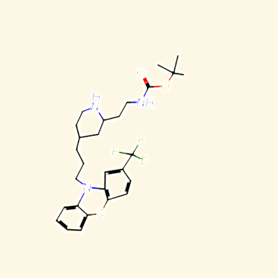 CC(C)(C)OC(=O)NCCC1CC(CCCN2c3ccccc3Sc3ccc(C(F)(F)F)cc32)CCN1